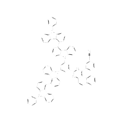 N#Cc1cccc(-c2nc(-c3cc(-n4c5ccccc5c5c(-c6cccc7c6c6ccccc6n7-c6ccccc6)cccc54)cc(-n4c5ccccc5c5c(-c6cccc7c6c6ccccc6n7-c6ccccc6)cccc54)c3)nc3ccc4ccccc4c23)c1